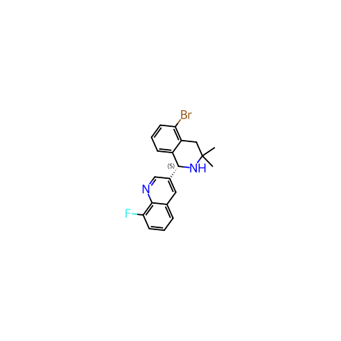 CC1(C)Cc2c(Br)cccc2[C@@H](c2cnc3c(F)cccc3c2)N1